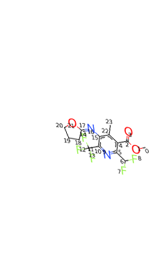 COC(=O)c1c(C(F)F)nc(C(F)(F)F)c(N=C2CCCO2)c1C